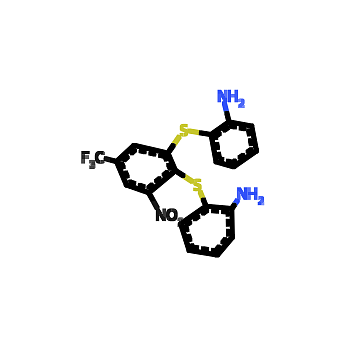 Nc1ccccc1Sc1cc(C(F)(F)F)cc([N+](=O)[O-])c1Sc1ccccc1N